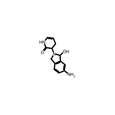 Nc1ccc2c(c1)C(O)N(C1CC=CNC1=O)C2